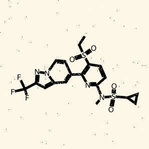 CCS(=O)(=O)c1ccc(N(C)S(=O)(=O)C2CC2)nc1-c1ccn2nc(C(F)(F)F)cc2c1